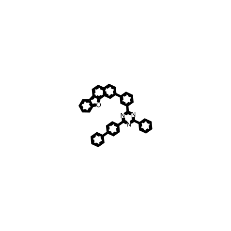 c1ccc(-c2ccc(-c3nc(-c4ccccc4)nc(-c4cccc(-c5ccc6ccc7c8ccccc8oc7c6c5)c4)n3)cc2)cc1